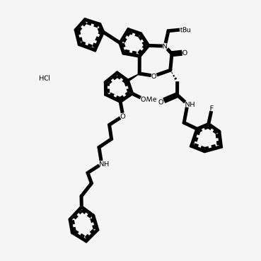 COc1c(OCCCNCCCc2ccccc2)cccc1[C@@H]1O[C@@H](CC(=O)NCc2ccccc2F)C(=O)N(CC(C)(C)C)c2ccc(-c3ccccc3)cc21.Cl